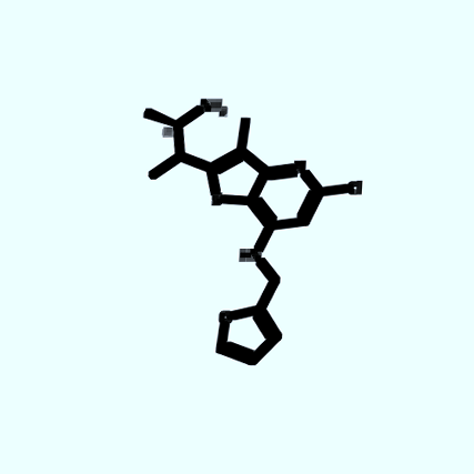 Cc1c(C(C)[C@@H](C)N)sc2c(NCc3ccco3)cc(Cl)nc12